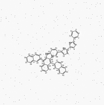 c1ccc(-c2ccc(-c3ccc(-c4ccc5nc6c(-c7ccc8ccccc8c7)c7ccccc7c(-c7ccc8ccccc8c7)c6n5c4)s3)s2)cc1